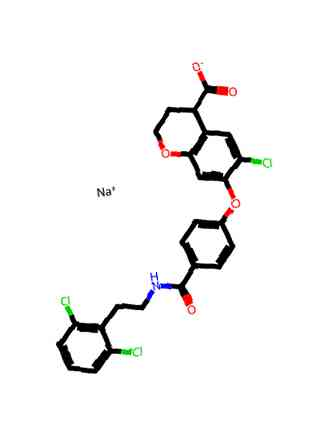 O=C(NCCc1c(Cl)cccc1Cl)c1ccc(Oc2cc3c(cc2Cl)C(C(=O)[O-])CCO3)cc1.[Na+]